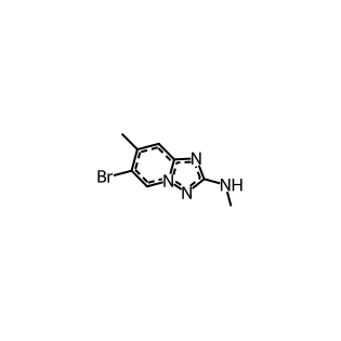 CNc1nc2cc(C)c(Br)cn2n1